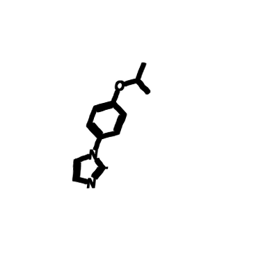 CC(C)Oc1ccc(-n2[c]ncc2)cc1